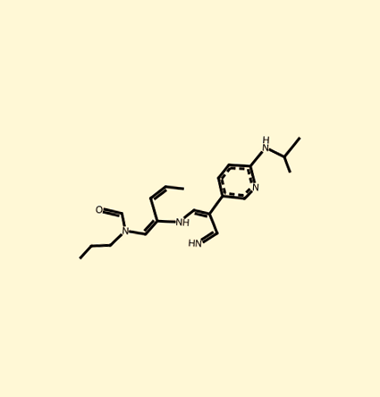 C/C=C\C(=C/N(C=O)CCC)N/C=C(\C=N)c1ccc(NC(C)C)nc1